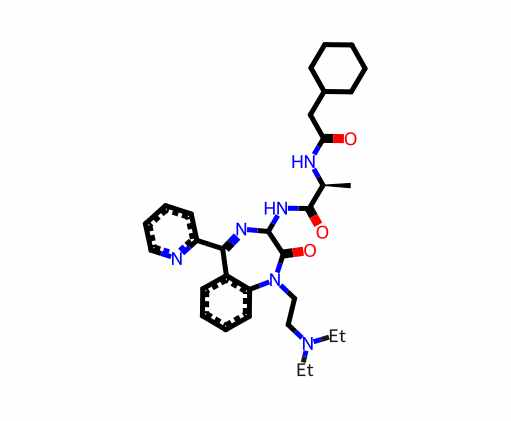 CCN(CC)CCN1C(=O)C(NC(=O)[C@H](C)NC(=O)CC2CCCCC2)N=C(c2ccccn2)c2ccccc21